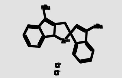 CCCCC1=C[C]2(CC3=C(CCCC)c4ccccc4[CH]3[Zr+2]2)c2ccccc21.[Cl-].[Cl-]